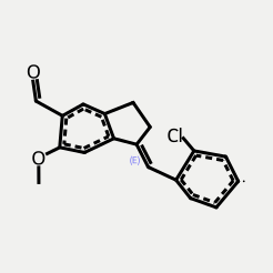 COc1cc2c(cc1C=O)CC/C2=C\c1cc[c]cc1Cl